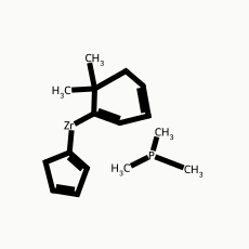 CC1(C)CC=CC=[C]1[Zr][C]1=CC=CC1.CP(C)C